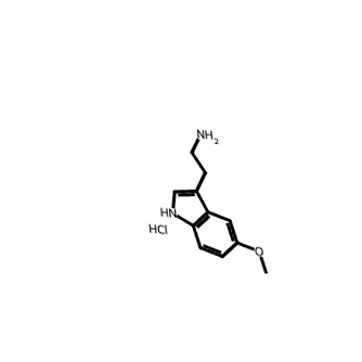 COc1ccc2[nH]cc(CCN)c2c1.Cl